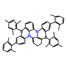 Cc1cc(C)c(B2C3=C4C(=CCC3)N3c5ccc(-c6c(C)cccc6C)cc5B(c5c(C)cc(C)cc5C)c5cccc(c53)N4c3ccc(-c4c(C)cccc4C)cc32)c(C)c1